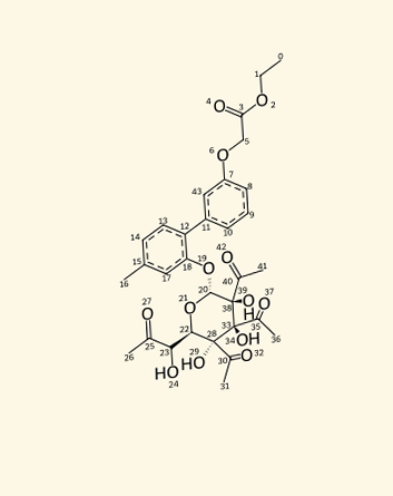 CCOC(=O)COc1cccc(-c2ccc(C)cc2O[C@H]2O[C@H](C(O)C(C)=O)[C@](O)(C(C)=O)[C@@](O)(C(C)=O)[C@@]2(O)C(C)=O)c1